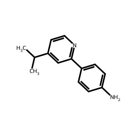 CC(C)c1ccnc(-c2ccc(N)cc2)c1